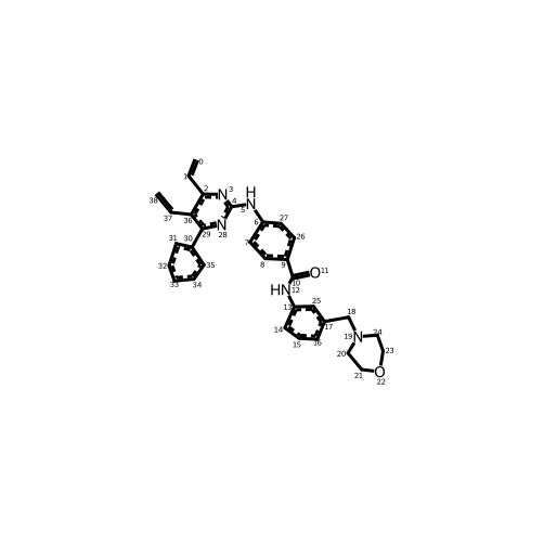 C=Cc1nc(Nc2ccc(C(=O)Nc3cccc(CN4CCOCC4)c3)cc2)nc(-c2ccccc2)c1C=C